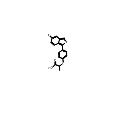 CC(Oc1ccc(-c2occ3cc(F)ccc23)cc1)C(=O)O